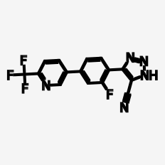 N#Cc1[nH]nnc1-c1ccc(-c2ccc(C(F)(F)F)nc2)cc1F